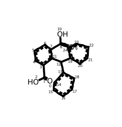 O=C(O)c1cccc(C(=O)O)c1C(c1ccccc1)c1ccccc1